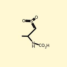 CC(C=S(=O)=O)NC(=O)O